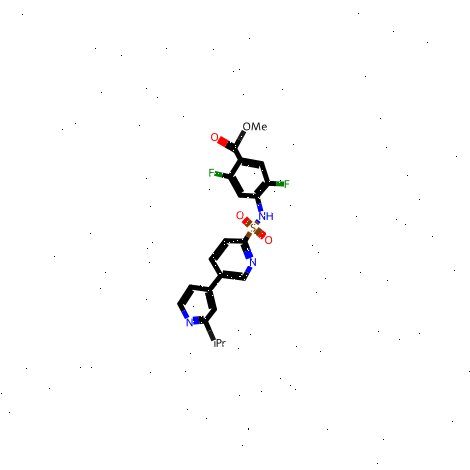 COC(=O)c1cc(F)c(NS(=O)(=O)c2ccc(-c3ccnc(C(C)C)c3)cn2)cc1F